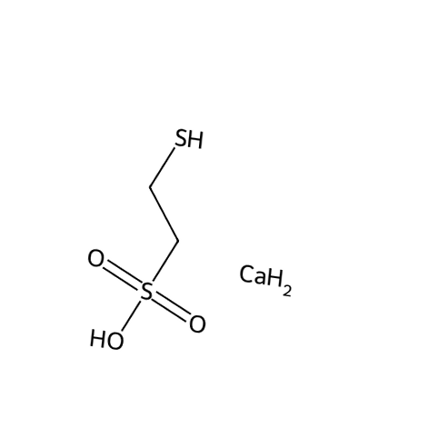 O=S(=O)(O)CCS.[CaH2]